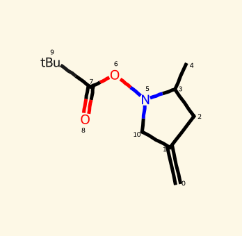 C=C1CC(C)N(OC(=O)C(C)(C)C)C1